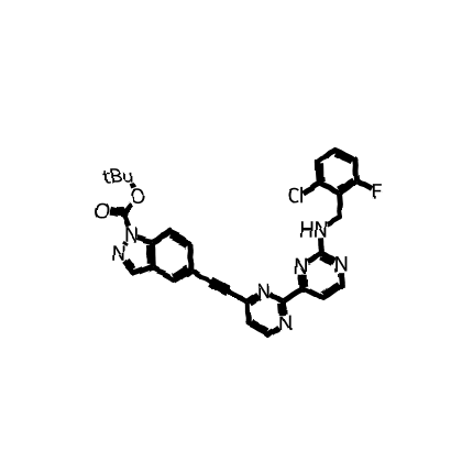 CC(C)(C)OC(=O)n1ncc2cc(C#Cc3ccnc(-c4ccnc(NCc5c(F)cccc5Cl)n4)n3)ccc21